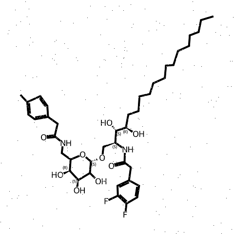 CCCCCCCCCCCCCC[C@@H](O)[C@@H](O)[C@H](CO[C@H]1OC(CNC(=O)Cc2ccc(C)cc2)[C@H](O)[C@H](O)C1O)NC(=O)Cc1ccc(F)c(F)c1